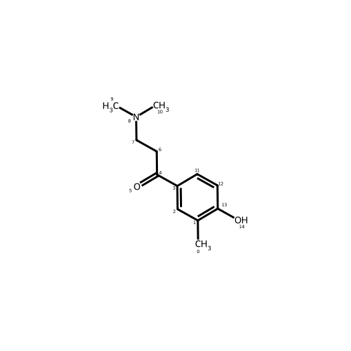 Cc1cc(C(=O)CCN(C)C)ccc1O